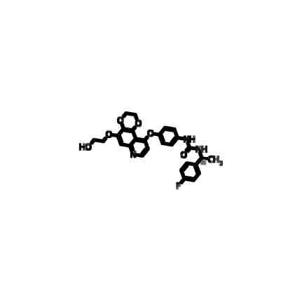 C[C@H](NC(=O)Nc1ccc(Oc2ccnc3cc(OCCO)c4c(c23)OCCO4)cc1)c1ccc(F)cc1